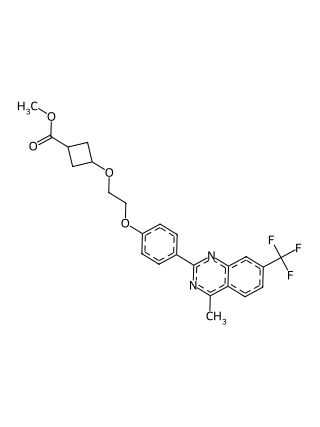 COC(=O)C1CC(OCCOc2ccc(-c3nc(C)c4ccc(C(F)(F)F)cc4n3)cc2)C1